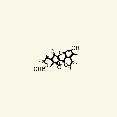 CC1=C([C@H](C)[C@@H](C)OC=O)C(=O)C2=C(C1=O)[C@H]1O[C@H](C)[C@@H](C)c3c(C)c(O)cc(c31)O2